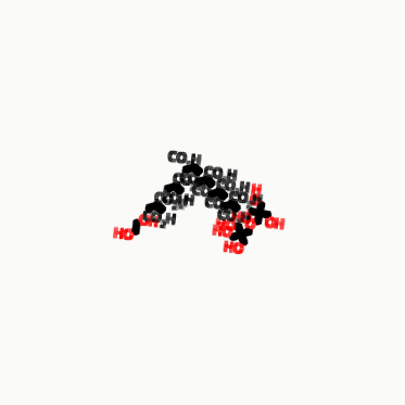 C=C(CC(=O)O)C(=O)O.C=C(CC(=O)O)C(=O)O.C=C(CC(=O)O)C(=O)O.C=C(CC(=O)O)C(=O)O.C=C(CC(=O)O)C(=O)O.C=C(CC(=O)O)C(=O)O.OCC(CO)(CO)COCC(CO)(CO)CO.OCCO